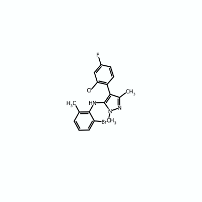 Cc1cccc(Br)c1Nc1c(-c2ccc(F)cc2Cl)c(C)nn1C